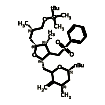 C=C1C(C[C@@H]2O[C@H](C[C@H](C)CO[Si](C)(C)C(C)(C)C)[C@H](C)C2CS(=O)(=O)c2ccccc2)O[C@@H](CCCC)C[C@H]1C